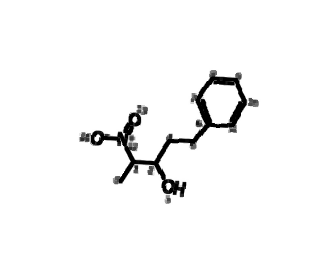 CC(C(O)CCc1ccccc1)[N+](=O)[O-]